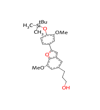 COc1cc(-c2cc3cc(CCCO)cc(OC)c3o2)ccc1O[Si](C)(C)C(C)(C)C